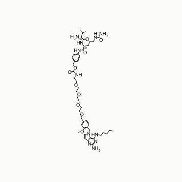 CCCCCNc1nc(N)nc2ccn(Cc3ccc(COCCOCCOCCOCCNC(=O)OCc4ccc(NC(=O)[C@H](CCCNC(N)=O)NC(=O)[C@@H](N)C(C)C)cc4)cc3OC)c12